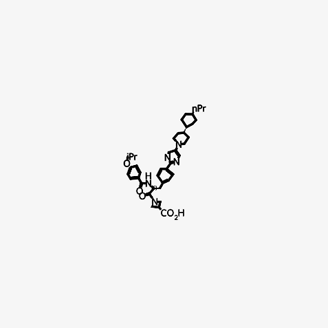 CCC[C@H]1CC[C@H](C2CCN(c3cnc(-c4ccc(C[C@H](NC(=O)c5ccc(OC(C)C)cc5)C(=O)N5CC(C(=O)O)C5)cc4)nc3)CC2)CC1